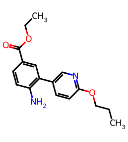 CCCOc1ccc(-c2cc(C(=O)OCC)ccc2N)cn1